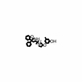 Cc1cc(O)cc(O[C@H]2CCN(C(C)(C)CCC(C(N)=O)(c3ccccc3)c3ccccc3)C2)c1